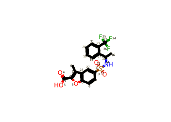 Cc1c(C(=O)O)oc2ccc(S(=O)(=O)NC(C)c3ccccc3C(F)(F)F)cc12